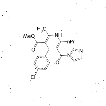 CCCC1=C(C(=O)n2ccnc2)C(c2ccc(Cl)cc2)C(C(=O)OC)=C(C)N1